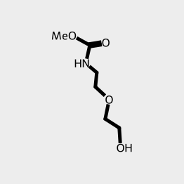 COC(=O)NCCOCCO